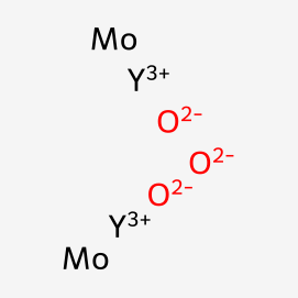 [Mo].[Mo].[O-2].[O-2].[O-2].[Y+3].[Y+3]